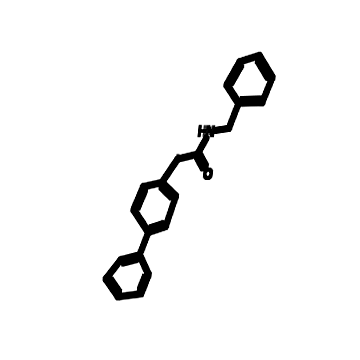 O=C([CH]c1ccc(-c2ccccc2)cc1)NCc1ccccc1